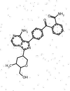 CC1CC(c2nc(-c3ccc(C(=O)c4ccccc4C(N)=O)cc3)c3c(N)nccn23)COC1CO